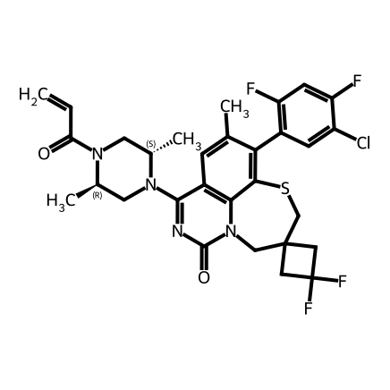 C=CC(=O)N1C[C@H](C)N(c2nc(=O)n3c4c(c(-c5cc(Cl)c(F)cc5F)c(C)cc24)SCC2(C3)CC(F)(F)C2)C[C@H]1C